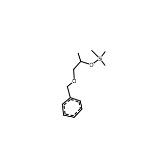 CC(COCc1ccccc1)O[Si](C)(C)C